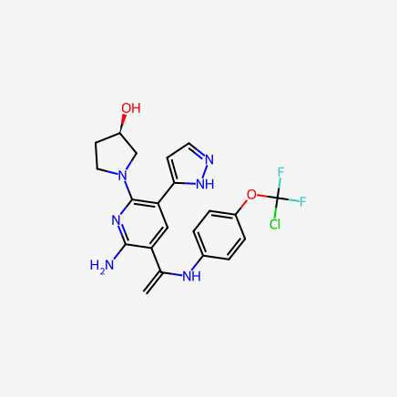 C=C(Nc1ccc(OC(F)(F)Cl)cc1)c1cc(-c2ccn[nH]2)c(N2CC[C@@H](O)C2)nc1N